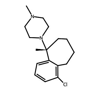 CN1CCN([C@]2(C)CCCCc3c(Cl)cccc32)CC1